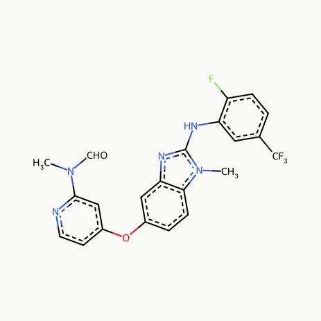 CN(C=O)c1cc(Oc2ccc3c(c2)nc(Nc2cc(C(F)(F)F)ccc2F)n3C)ccn1